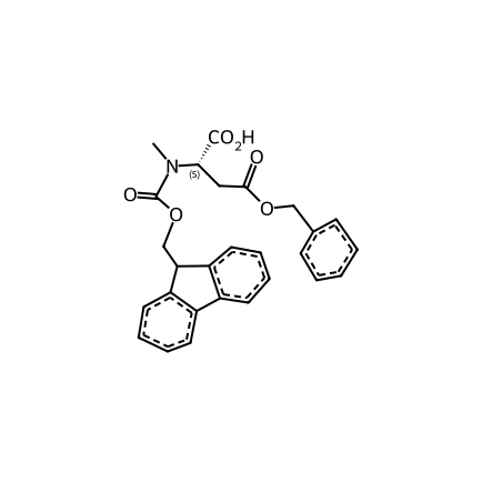 CN(C(=O)OCC1c2ccccc2-c2ccccc21)[C@@H](CC(=O)OCc1ccccc1)C(=O)O